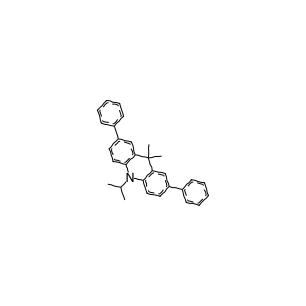 CC(C)N1c2ccc(-c3ccccc3)cc2C(C)(C)c2cc(-c3ccccc3)ccc21